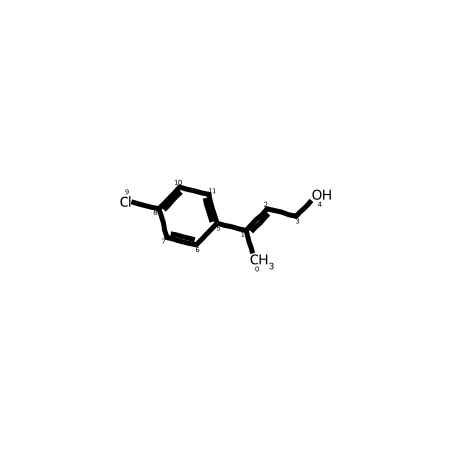 CC(=CCO)c1ccc(Cl)cc1